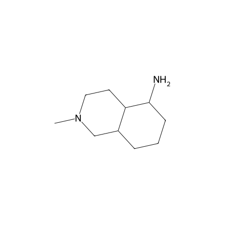 CN1CCC2C(N)CCCC2C1